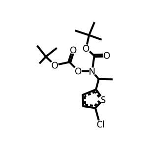 CC(c1ccc(Cl)s1)N(OC(=O)OC(C)(C)C)C(=O)OC(C)(C)C